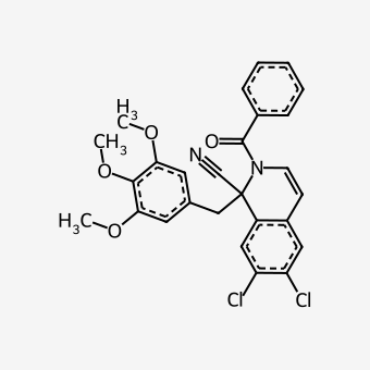 COc1cc(CC2(C#N)c3cc(Cl)c(Cl)cc3C=CN2C(=O)c2ccccc2)cc(OC)c1OC